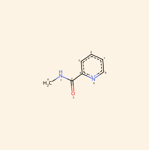 [CH2]NC(=O)c1ccccn1